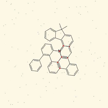 CC1(C)c2ccccc2-c2c(N(c3ccc4ccccc4c3)c3cccc(-c4ccccc4)c3-c3ccccc3-c3ccccc3)cccc21